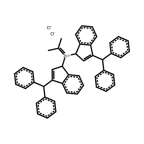 C[C](C)=[Zr+2]([CH]1C=C(C(c2ccccc2)c2ccccc2)c2ccccc21)[CH]1C=C(C(c2ccccc2)c2ccccc2)c2ccccc21.[Cl-].[Cl-]